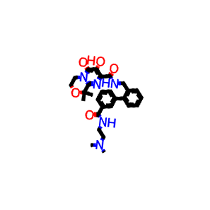 CN(C)CCNC(=O)c1cccc(-c2ccccc2CNC(=O)c2nc3n(c(=O)c2O)CCOC3(C)C)c1